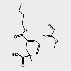 C=CC(=O)OC.CCCCOC(=O)C1=CC=CC(C)(C(=O)O)C1